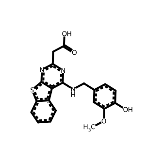 COc1cc(CNc2nc(CC(=O)O)nc3sc4ccccc4c23)ccc1O